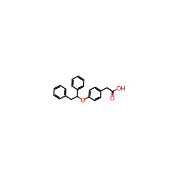 O=C(O)Cc1ccc(OC(Cc2ccccc2)c2ccccc2)cc1